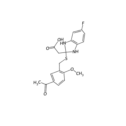 COc1ccc(C(C)=O)cc1CSC1(CC(=O)O)Nc2ccc(F)cc2N1